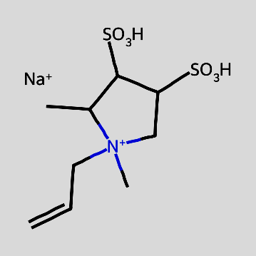 C=CC[N+]1(C)CC(S(=O)(=O)O)C(S(=O)(=O)O)C1C.[Na+]